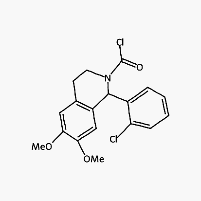 COc1cc2c(cc1OC)C(c1ccccc1Cl)N(C(=O)Cl)CC2